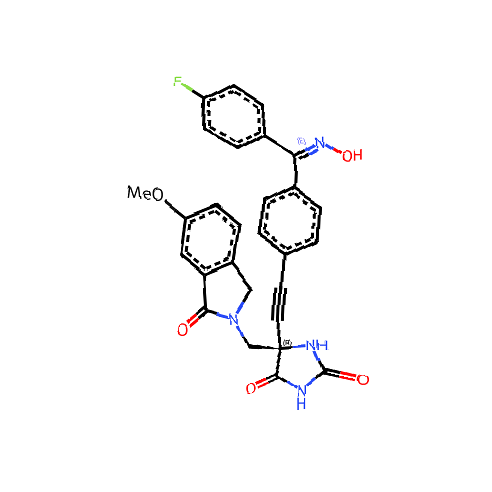 COc1ccc2c(c1)C(=O)N(C[C@@]1(C#Cc3ccc(/C(=N\O)c4ccc(F)cc4)cc3)NC(=O)NC1=O)C2